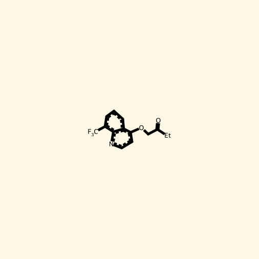 CCC(=O)COc1ccnc2c(C(F)(F)F)cccc12